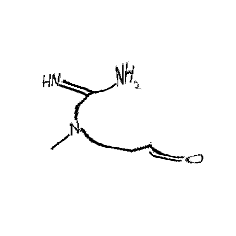 CN(C[C]=O)C(=N)N